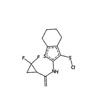 C=C(Nc1sc2c(c1SCl)CCCC2)C1CC1(F)F